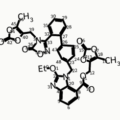 CCOc1nc2cccc(C(=O)OCc3oc(=O)oc3C)c2n1Cc1ccc(-c2ccccc2-c2noc(=O)n2Cc2oc(=O)oc2C)cc1